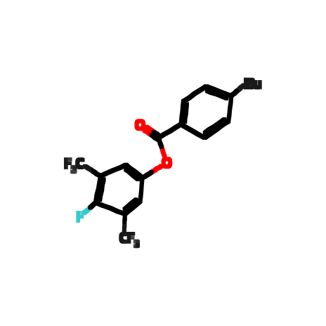 CCC(C)c1ccc(C(=O)Oc2cc(C(F)(F)F)c(F)c(C(F)(F)F)c2)cc1